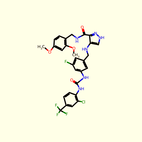 COc1ccc(CNC(=O)c2n[nH]cc2NCc2cc(F)cc(NC(=O)Nc3ccc(C(F)(F)F)cc3Cl)c2)c(OC)c1